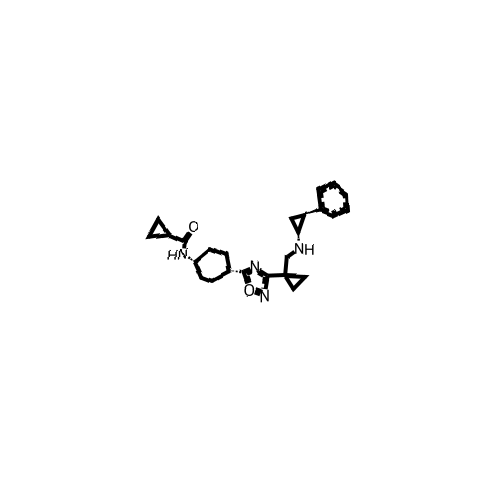 O=C(N[C@H]1CC[C@@H](c2nc(C3(CN[C@@H]4C[C@H]4c4ccccc4)CC3)no2)CC1)C1CC1